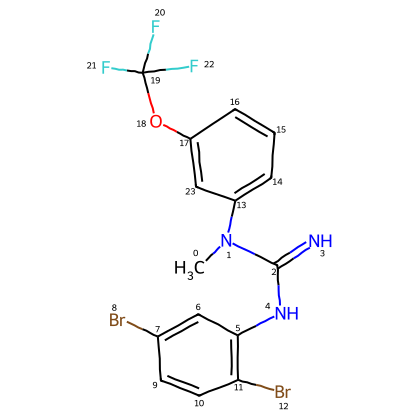 CN(C(=N)Nc1cc(Br)ccc1Br)c1cccc(OC(F)(F)F)c1